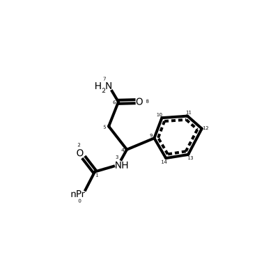 CCCC(=O)NC(CC(N)=O)c1ccccc1